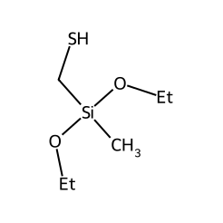 CCO[Si](C)(CS)OCC